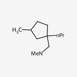 CCCC1(CNC)CCC(C)C1